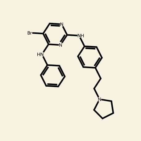 Brc1cnc(Nc2ccc(CCN3CCCC3)cc2)nc1Nc1ccccc1